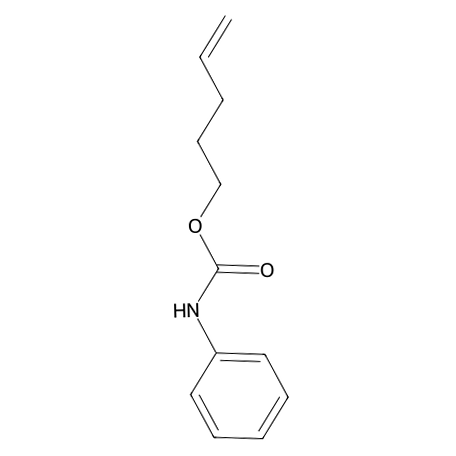 C=CCCCOC(=O)Nc1ccccc1